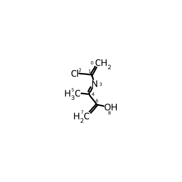 C=C(Cl)/N=C(\C)C(=C)O